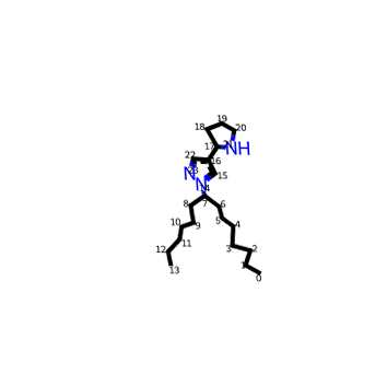 CCCCCCCC(CCCCCC)n1cc(C2CCCN2)cn1